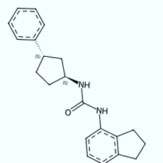 O=C(Nc1cccc2c1CCC2)N[C@H]1CC[C@H](c2ccccc2)C1